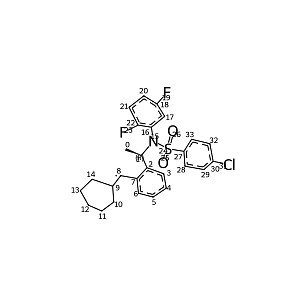 C[C@H](c1ccccc1[CH]C1CCCCC1)N(c1cc(F)ccc1F)S(=O)(=O)c1ccc(Cl)cc1